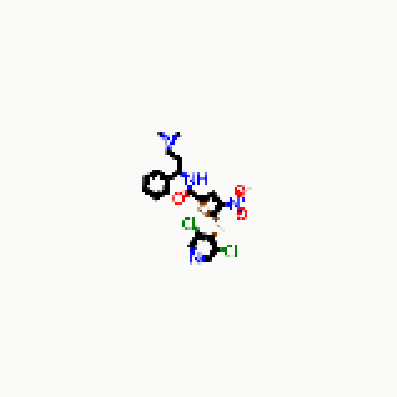 CN(C)CCC(NC(=O)c1cc([N+](=O)[O-])c(Sc2c(Cl)cncc2Cl)s1)c1ccccc1